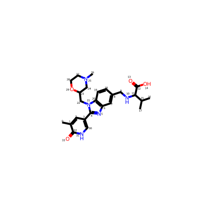 Cc1cc(-c2nc3cc(CNC(C(=O)O)C(C)C)ccc3n2CC2CN(C)CCO2)c[nH]c1=O